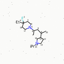 CCC1(F)CCN(C(C)CC(C)C2CCN(C(C)C)C2)CC1